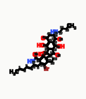 C/C=C/C=C/c1cc2c(Br)c3c(c(O)c2c(=O)[nH]1)[C@@]1(CC3)C(=O)c2c(O)c3c(c(O)c2C1=O)C(=O)C(NCCCC)=CC3=O